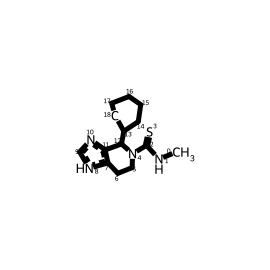 CNC(=S)N1CCc2[nH]cnc2C1C1CCCCC1